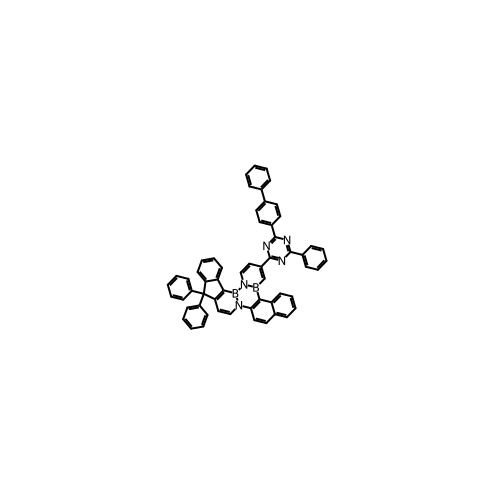 C1=CN2B(C=C1c1nc(-c3ccccc3)nc(-c3ccc(-c4ccccc4)cc3)n1)c1c(ccc3ccccc13)N1C=CC3=C(B21)c1ccccc1C3(c1ccccc1)c1ccccc1